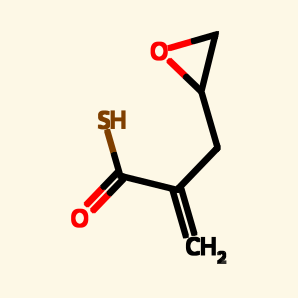 C=C(CC1CO1)C(=O)S